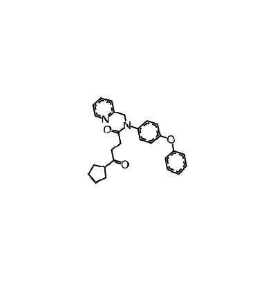 O=C(CCC(=O)N(Cc1ccccn1)c1ccc(Oc2ccccc2)cc1)C1CCCC1